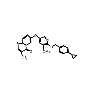 COc1cc(Oc2ccc3ncc(C)c(=O)n3c2)cnc1OCc1ccc(C2CC2)cc1